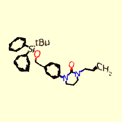 C=CCN1CCCN(c2ccc(CO[Si](c3ccccc3)(c3ccccc3)C(C)(C)C)cc2)C1=O